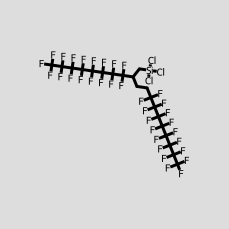 FC(F)(F)C(F)(F)C(F)(F)C(F)(F)C(F)(F)C(F)(F)C(F)(F)C(F)(F)CCC(C[Si](Cl)(Cl)Cl)C(F)(F)C(F)(F)C(F)(F)C(F)(F)C(F)(F)C(F)(F)C(F)(F)C(F)(F)F